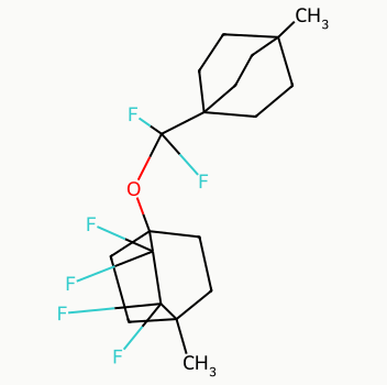 CC12CCC(C(F)(F)OC34CCC(C)(CC3)C(F)(F)C4(F)F)(CC1)CC2